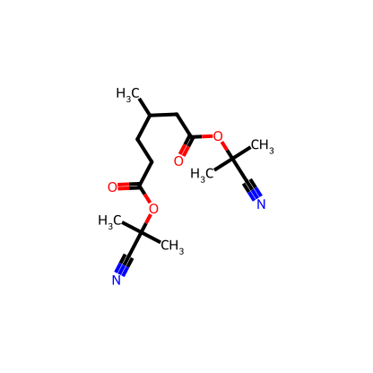 CC(CCC(=O)OC(C)(C)C#N)CC(=O)OC(C)(C)C#N